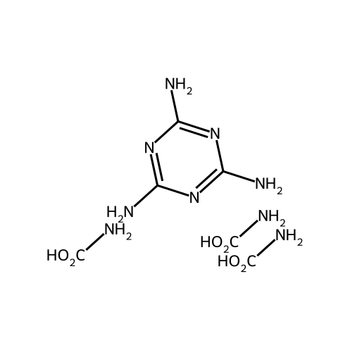 NC(=O)O.NC(=O)O.NC(=O)O.Nc1nc(N)nc(N)n1